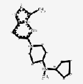 Cc1nnc2ccc(N3CCC(N(C)C4CCCC4)CC3)nn12